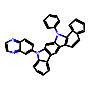 c1ccc(-n2c3cc4c(cc3c3ccc5ccccc5c32)c2ccccc2n4-c2ccc3nccnc3c2)cc1